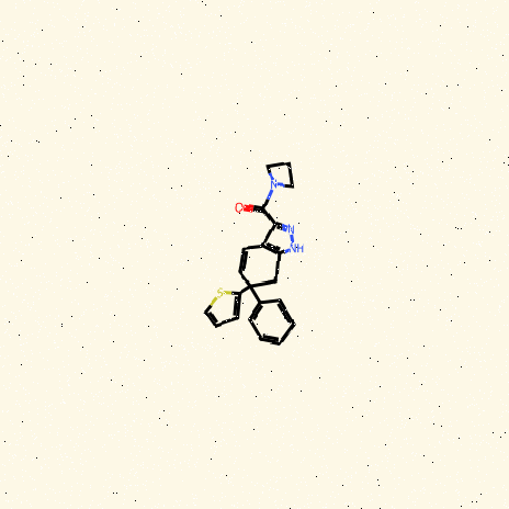 O=C(c1n[nH]c2c1C=CC(c1ccccc1)(c1cccs1)C2)N1CCC1